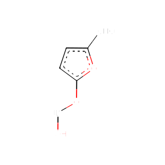 O=Cc1ccc(OBO)o1